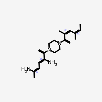 C=C(/C(C)=C\C(C)=C/C)N1CCN(C(=C)/C(N)=C/C=C(/C)N)CC1